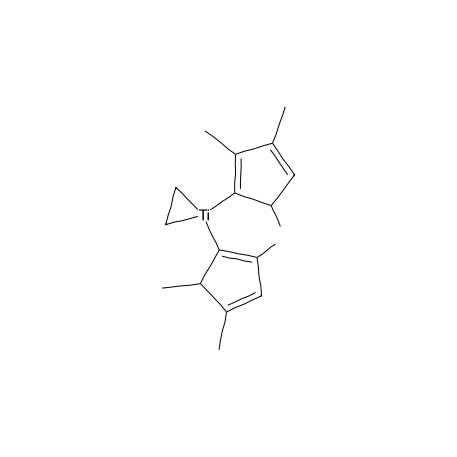 CC1=CC(C)[C]([Ti]2([C]3=C(C)C=C(C)C3C)[CH2][CH2]2)=C1C